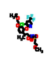 COCCCS(=O)(=O)NC(=O)CC(C)c1ccc(OCCOC)cc1Oc1ncc(C(F)(F)F)cc1Cl